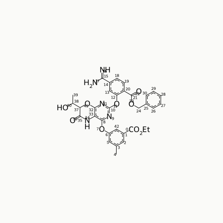 CCOC(=O)c1cc(C)cc(Oc2nc(Oc3cc(C(=N)N)ccc3C(=O)OCc3ccccc3)nc3c2NC(=O)C(C(C)O)O3)c1